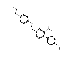 CCCc1ccc(COc2ccc(-c3ccc(OC)cc3)c(C(F)F)c2F)cc1